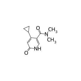 CN(C)C(=O)c1c[nH]c(=O)cc1C1CC1